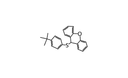 CC(C)(C)c1ccc(SC2c3ccccc3Oc3ccccc32)cc1